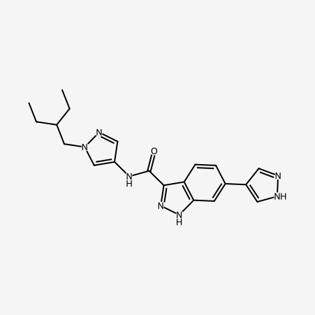 CCC(CC)Cn1cc(NC(=O)c2n[nH]c3cc(-c4cn[nH]c4)ccc23)cn1